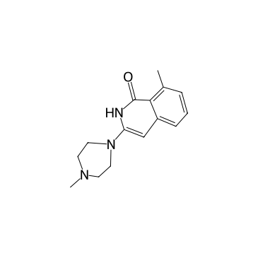 Cc1cccc2cc(N3CCN(C)CC3)[nH]c(=O)c12